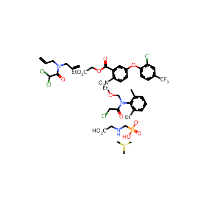 C=CCN(CC=C)C(=O)C(Cl)Cl.CCOC(=O)COC(=O)c1cc(Oc2ccc(C(F)(F)F)cc2Cl)ccc1[N+](=O)[O-].CCOCN(C(=O)CCl)c1c(C)cccc1CC.C[S+](C)C.O=C(O)CNCP(=O)([O-])O